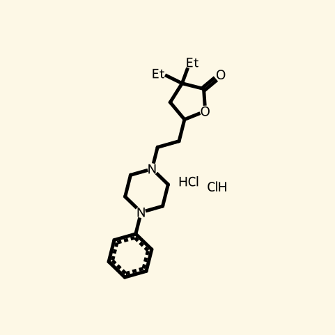 CCC1(CC)CC(CCN2CCN(c3ccccc3)CC2)OC1=O.Cl.Cl